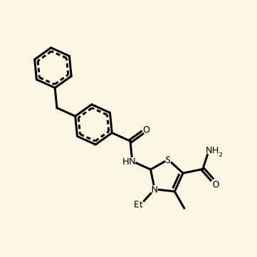 CCN1C(C)=C(C(N)=O)SC1NC(=O)c1ccc(Cc2ccccc2)cc1